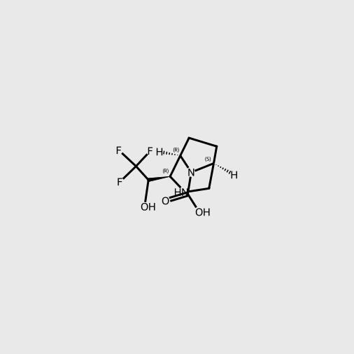 O=C(O)N1[C@H]2CC[C@@H]1[C@H](C(O)C(F)(F)F)NC2